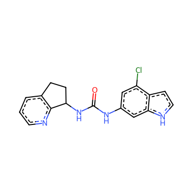 O=C(Nc1cc(Cl)c2cc[nH]c2c1)NC1CCc2cccnc21